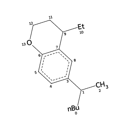 CCCCC(C)c1ccc2c(c1)C(CC)CCO2